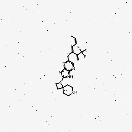 C=C(/C(=C\C=C/C)Sc1cnc2[nH]c(N3CCC34CCNCC4)nc2n1)C(C)(F)F